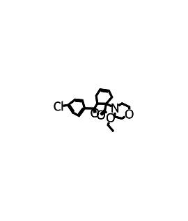 CCOC(=O)C1(N2CCOCC2)CC=CCC1C(=O)c1ccc(Cl)cc1